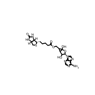 Nc1ncnc2c1ncn2[C@@H]1OC2(O)C(COC(=O)CCCC[C@@H]3SC[C@@H]4NC(=O)N[C@@H]43)C2C1O